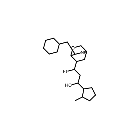 CCC(CC(O)C1CCCC1C)C1CC2COC1C(CC1CCCCC1)N2